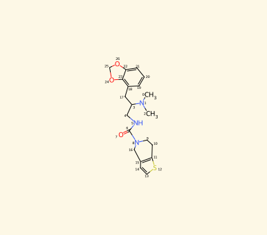 CN(C)C(CNC(=O)N1CCc2sccc2C1)Cc1cccc2c1OCO2